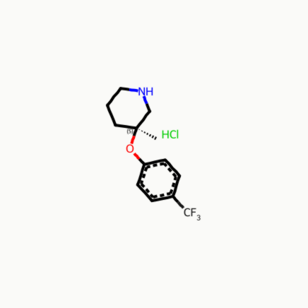 C[C@]1(Oc2ccc(C(F)(F)F)cc2)CCCNC1.Cl